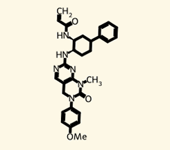 C=CC(=O)N[C@H]1CC(c2ccccc2)CC[C@H]1Nc1ncc2c(n1)N(C)C(=O)N(c1ccc(OC)cc1)C2